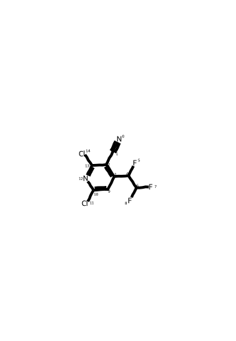 N#Cc1c(C(F)C(F)F)cc(Cl)nc1Cl